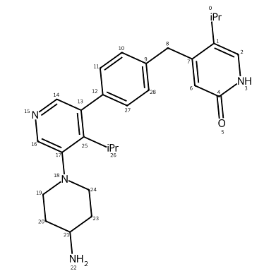 CC(C)c1c[nH]c(=O)cc1Cc1ccc(-c2cncc(N3CCC(N)CC3)c2C(C)C)cc1